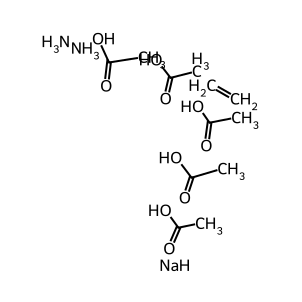 C=C.CC(=O)O.CC(=O)O.CC(=O)O.CC(=O)O.CC(=O)O.N.N.[NaH]